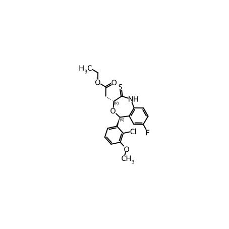 CCOC(=O)C[C@H]1O[C@H](c2cccc(OC)c2Cl)c2cc(F)ccc2NC1=S